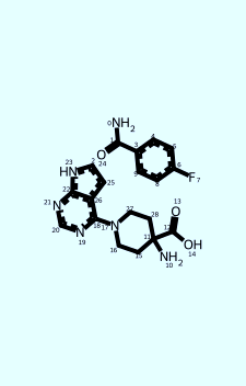 NC(=O)c1ccc(F)cc1.NC1(C(=O)O)CCN(c2ncnc3[nH]ccc23)CC1